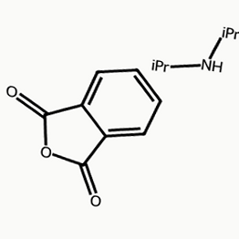 CC(C)NC(C)C.O=C1OC(=O)c2ccccc21